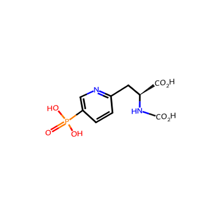 O=C(O)N[C@@H](Cc1ccc(P(=O)(O)O)cn1)C(=O)O